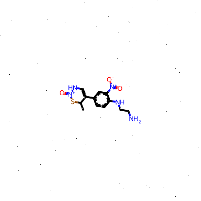 CC1S[N+](=O)NC=C1c1ccc(NCCN)c([N+](=O)[O-])c1